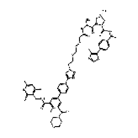 CCN(c1cc(-c2ccc(-c3cn(CCOCCOCC(=O)NC(C(=O)N4C[C@H](O)C[C@H]4C(=O)N[C@@H](C)c4ccc(-c5scnc5C)cc4)C(C)(C)C)nn3)cc2)cc(C(=O)NCc2c(C)cc(C)[nH]c2=O)c1C)C1CCOCC1